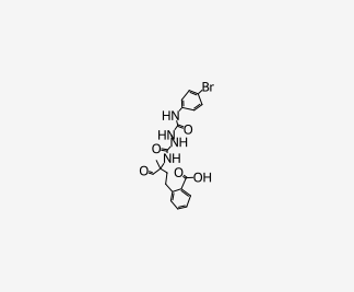 CC(C=O)(CCc1ccccc1C(=O)O)NC(=O)NNC(=O)Nc1ccc(Br)cc1